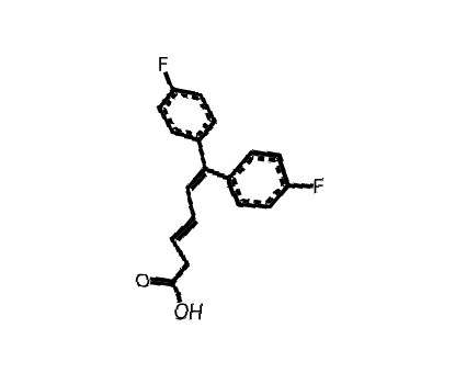 O=C(O)C/C=C/C=C(c1ccc(F)cc1)c1ccc(F)cc1